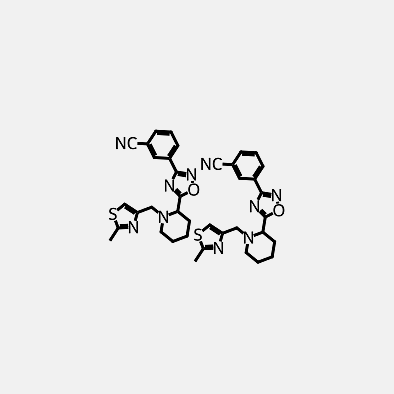 Cc1nc(CN2CCCCC2c2nc(-c3cccc(C#N)c3)no2)cs1.Cc1nc(CN2CCCCC2c2nc(-c3cccc(C#N)c3)no2)cs1